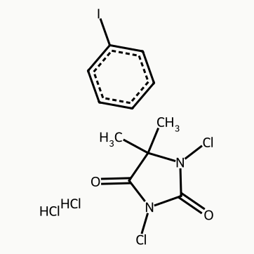 CC1(C)C(=O)N(Cl)C(=O)N1Cl.Cl.Cl.Ic1ccccc1